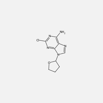 Nc1nc(Cl)nc2c1ncn2C1CCCO1